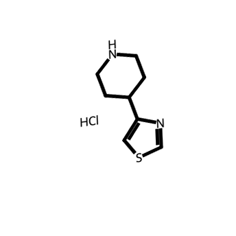 Cl.c1nc(C2CCNCC2)cs1